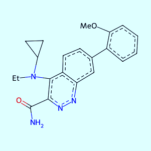 CCN(c1c(C(N)=O)nnc2cc(-c3ccccc3OC)ccc12)C1CC1